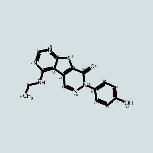 CCNc1ncnc2sc3c(=O)n(-c4ccc(O)cc4)ncc3c12